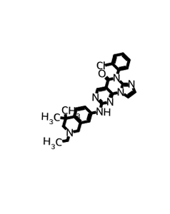 CCN1Cc2cc(Nc3ncc4c(=O)n(-c5ccccc5Cl)c5nccn5c4n3)ccc2C(C)(C)C1